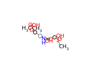 CCCC[S+]([O-])c1cc(OC[C@@H](O)CNC2CCC(c3ccc(OC(C)(C)C(=O)O)cc3)CC2)ccc1O